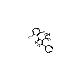 O=C(O)c1c(-c2c(F)cccc2Cl)noc1-c1ccccc1